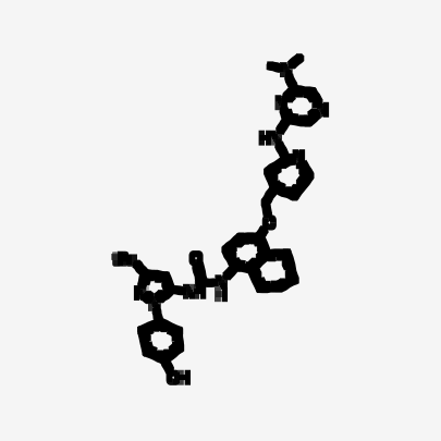 CN(C)c1cncc(Nc2cc(COc3ccc(NC(=O)Nc4cc(C(C)(C)C)nn4-c4ccc(O)cc4)c4ccccc34)ccn2)n1